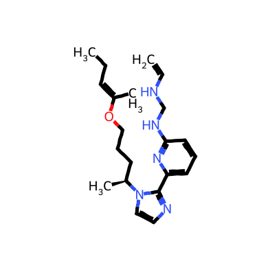 C=CNCNc1cccc(-c2nccn2[C@@H](C)CCCO/C(C)=C/CC)n1